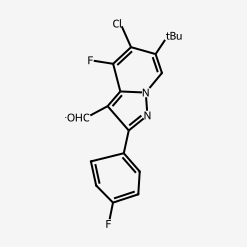 CC(C)(C)c1cn2nc(-c3ccc(F)cc3)c([C]=O)c2c(F)c1Cl